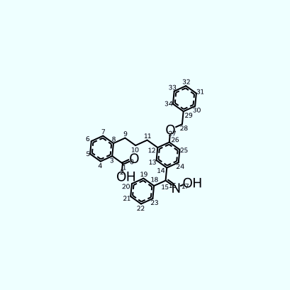 O=C(O)c1ccccc1CCCc1cc(/C(=N\O)c2ccccc2)ccc1OCc1ccccc1